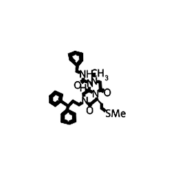 CSCC[C@H]1C(=O)N(CCC(c2ccccc2)c2ccccc2)C[C@H]2N1C(=O)CN(C)N2C(=O)NCc1ccccc1